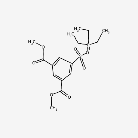 CC[PH](CC)(CC)OS(=O)(=O)c1cc(C(=O)OC)cc(C(=O)OC)c1